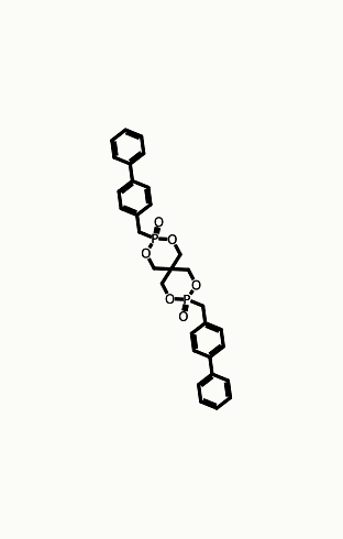 O=P1(Cc2ccc(-c3ccccc3)cc2)OCC2(CO1)COP(=O)(Cc1ccc(-c3ccccc3)cc1)OC2